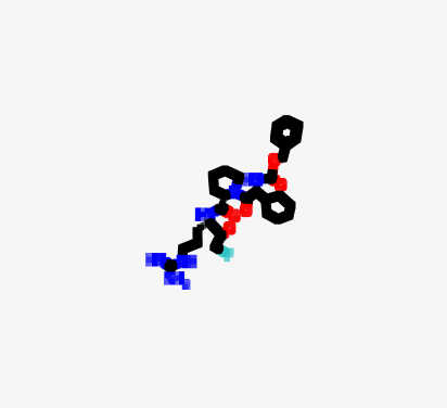 N=C(N)NCCC[C@H](NC(=O)[C@@H]1CCCCN1C(=O)[C@@H](NC(=O)OCc1ccccc1)C1CCCCC1)C(=O)CF